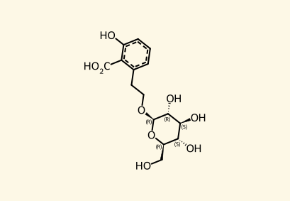 O=C(O)c1c(O)cccc1CCO[C@@H]1O[C@H](CO)[C@@H](O)[C@H](O)[C@H]1O